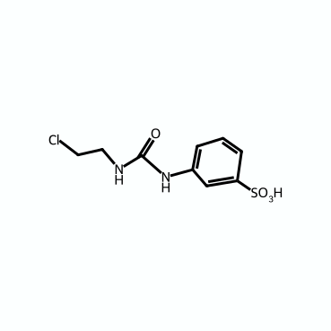 O=C(NCCCl)Nc1cccc(S(=O)(=O)O)c1